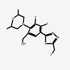 CC1CN(c2c(CO)cc(-c3nnc(CF)s3)c(F)c2F)CC(C)O1